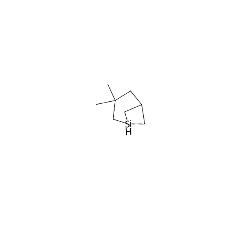 CC1(C)CC2C[SiH](C2)C1